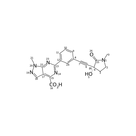 CN1CC[C@@](O)(C#Cc2cccc(-c3nc(C(=O)O)c4cnn(C)c4n3)c2)C1=O